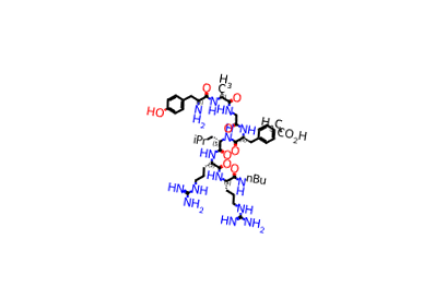 CC(=O)O.CCCCNC(=O)[C@H](CCCNC(=N)N)NC(=O)[C@H](CCCNC(=N)N)NC(=O)[C@H](CC(C)C)NC(=O)[C@H](Cc1ccccc1)NC(=O)CNC(=O)[C@@H](C)NC(=O)[C@@H](N)Cc1ccc(O)cc1